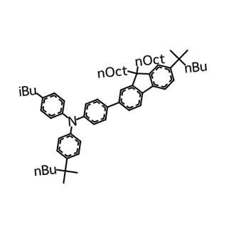 CCCCCCCCC1(CCCCCCCC)c2cc(-c3ccc(N(c4ccc(C(C)CC)cc4)c4ccc(C(C)(C)CCCC)cc4)cc3)ccc2-c2ccc(C(C)(C)CCCC)cc21